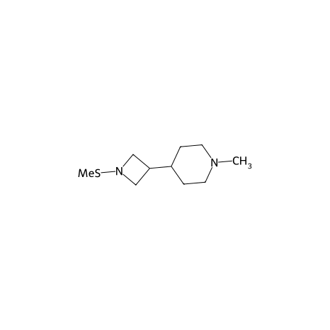 CSN1CC(C2CCN(C)CC2)C1